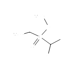 CCOC(=O)C(C)P(=O)(COC)OOC